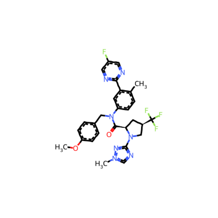 COc1ccc(CN(C(=O)[C@H]2C[C@@H](C(F)(F)F)CN2c2ncn(C)n2)c2ccc(C)c(-c3ncc(F)cn3)c2)cc1